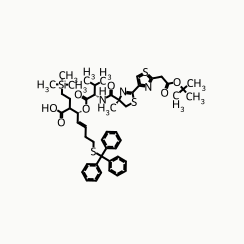 CC(C)[C@H](NC(=O)[C@@]1(C)CSC(c2csc(CC(=O)OC(C)(C)C)n2)=N1)C(=O)O[C@H](/C=C/CCSC(c1ccccc1)(c1ccccc1)c1ccccc1)C(CC[Si](C)(C)C)C(=O)O